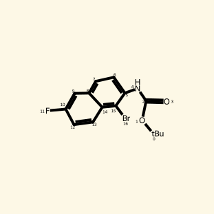 CC(C)(C)OC(=O)Nc1ccc2cc(F)ccc2c1Br